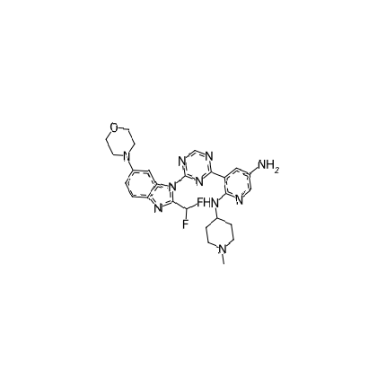 CN1CCC(Nc2ncc(N)cc2-c2ncnc(-n3c(C(F)F)nc4ccc(N5CCOCC5)cc43)n2)CC1